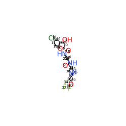 O=C(NC12CC(NC(=O)[C@H]3C[C@@H](O)c4cc(Cl)ccc4O3)(C1)C2)c1cnn([C@H]2C[C@@H](OC(F)(F)F)C2)c1